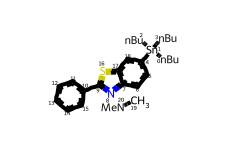 CCC[CH2][Sn]([CH2]CCC)([CH2]CCC)[c]1ccc2nc(-c3ccccc3)sc2c1.CNC